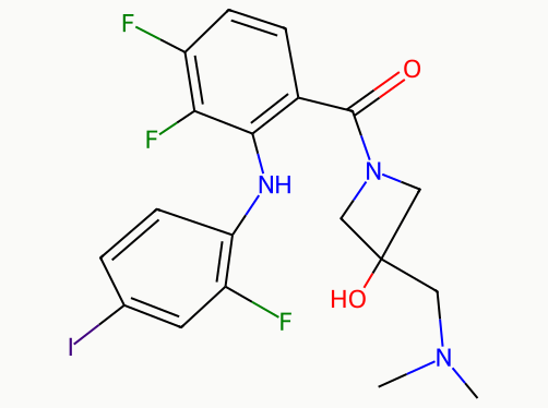 CN(C)CC1(O)CN(C(=O)c2ccc(F)c(F)c2Nc2ccc(I)cc2F)C1